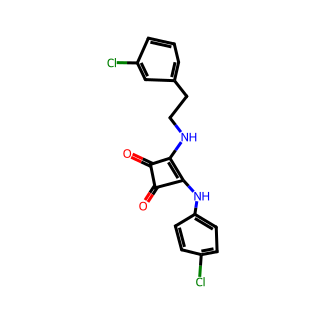 O=c1c(NCCc2cccc(Cl)c2)c(Nc2ccc(Cl)cc2)c1=O